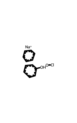 Oc1ccccc1.[Na+].[O-]Cl.c1ccccc1